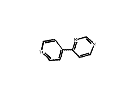 c1cc(-c2ccncn2)ccn1